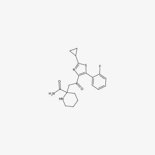 NC(=O)C1([CH]C(=O)c2nc(C3CC3)sc2-c2ccccc2F)CCCCN1